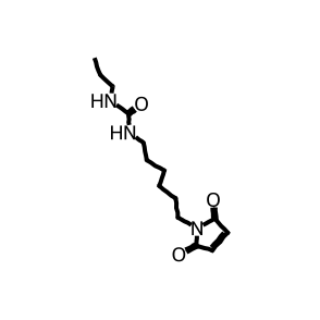 CCCNC(=O)NCCCCCCN1C(=O)C=CC1=O